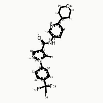 Cc1c(C(=O)Nc2ccc(C3CCOCC3)nc2)cnn1-c1ccc(C(F)(F)F)cc1